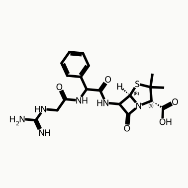 CC1(C)S[C@@H]2C(NC(=O)C(NC(=O)CNC(=N)N)c3ccccc3)C(=O)N2[C@H]1C(=O)O